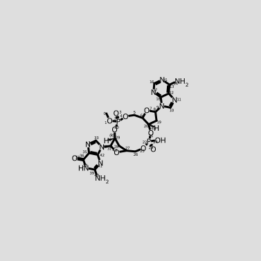 COP1(=O)OCC2OC(n3cnc4c(N)ncnc43)C[C@@H]2OP(=O)(O)OCC2C[C@@H](O1)C(n1cnc3c(=O)[nH]c(N)nc31)O2